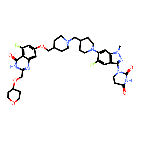 Cn1nc(N2CCC(=O)NC2=O)c2cc(F)c(N3CCC(CN4CCC(COc5cc(F)c6c(=O)[nH]c(COC7CCOCC7)nc6c5)CC4)CC3)cc21